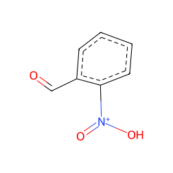 O=Cc1ccccc1[N+](=O)O